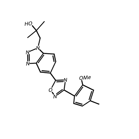 COc1cc(C)ccc1-c1noc(-c2ccc3c(c2)nnn3CC(C)(C)O)n1